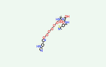 Cc1ncsc1-c1ccc([C@H](C)NC(=O)[C@@H]2C[C@@H](O)CN2C(=O)[C@@H](NC(=O)COCCOCCOCCOCCOCCOc2ccc(-c3ccc4c(c3)[nH]c3ccncc34)cn2)C(C)(C)C)cc1